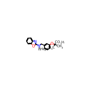 CCCCCCCN(Cc1cccc(OC(C)(C)C(=O)O)c1)c1nc2ccccc2o1